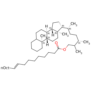 CCCCCCCCC=CCCCCCCCC(=O)OCC(C)[C@@H](C)CC[C@@H](C)[C@H]1CC[C@H]2[C@@H]3CCC4CCCC[C@]4(C)[C@H]3CC[C@]12C